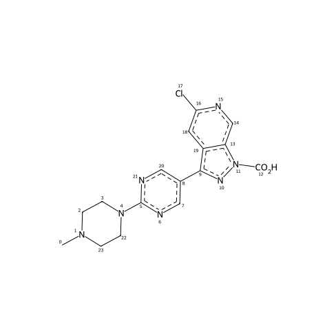 CN1CCN(c2ncc(-c3nn(C(=O)O)c4cnc(Cl)cc34)cn2)CC1